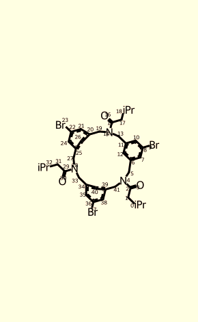 CC(C)CC(=O)N1Cc2cc(Br)cc(c2)CN(C(=O)CC(C)C)Cc2cc(Br)cc(c2)CN(C(=O)CC(C)C)Cc2cc(Br)cc(c2)C1